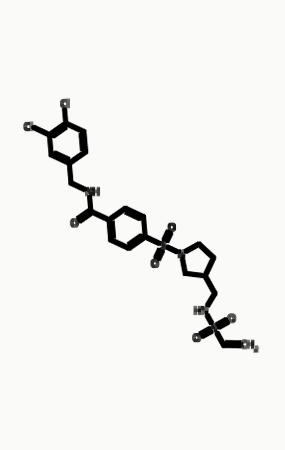 C=CS(=O)(=O)NCC1CCN(S(=O)(=O)c2ccc(C(=O)NCc3ccc(Cl)c(Cl)c3)cc2)C1